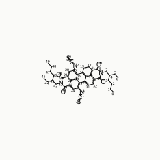 CCCCC(CC)CN1C(=O)c2ccc3c4c(N=C=S)cc5c6c(cc(N=C=S)c(c7ccc(c2c37)C1=O)c64)C(=O)N(CC(CC)CCCC)C5=O